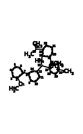 COc1ccccc1-c1cccc(C(Nc2c(C(C)C)cccc2C(C)C)c2ccc(C)cc2)c1